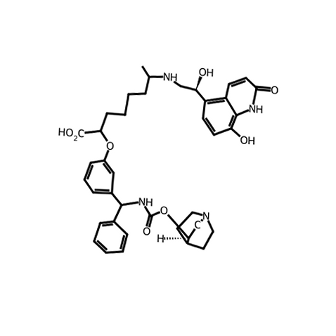 CC(CCCCC(Oc1cccc(C(NC(=O)O[C@H]2CN3CCC2CC3)c2ccccc2)c1)C(=O)O)NC[C@@H](O)c1ccc(O)c2[nH]c(=O)ccc12